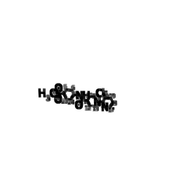 CS(=O)(=O)c1ccc(NC(=O)C2=CCN(c3ncccc3Cl)CC2)cc1